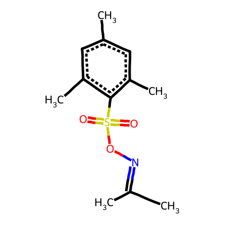 CC(C)=NOS(=O)(=O)c1c(C)cc(C)cc1C